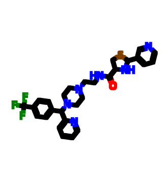 O=C(NCCN1CCN(C(c2ccc(C(F)(F)F)cc2)c2ccccn2)CC1)C1CSC(c2cccnc2)N1